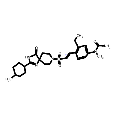 CCc1cc(N(C)C(N)=O)ccc1/C=C/S(=O)(=O)N1CCC2(CC1)N=C(C1CCC(C)CC1)NC2=O